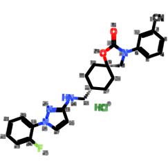 Cl.N#Cc1cccc(N2C[C@]3(CC[C@@H](CNc4ccn(-c5ccccc5F)n4)CC3)OC2=O)c1